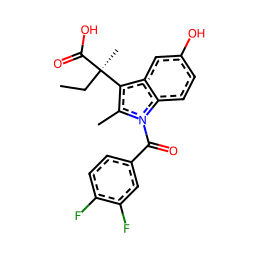 CC[C@@](C)(C(=O)O)c1c(C)n(C(=O)c2ccc(F)c(F)c2)c2ccc(O)cc12